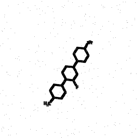 CCCC1CCC(C2CCC(C3CCC(C)CC3)C(F)C2)CC1